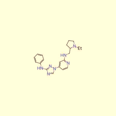 CCN1CCCC1CNc1cc(-n2cnc(Nc3ccccc3)n2)ccn1